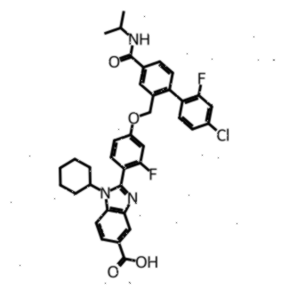 CC(C)NC(=O)c1ccc(-c2ccc(Cl)cc2F)c(COc2ccc(-c3nc4cc(C(=O)O)ccc4n3C3CCCCC3)c(F)c2)c1